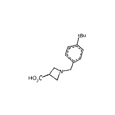 CC(C)(C)c1ccc(CN2CC(C(=O)O)C2)cc1